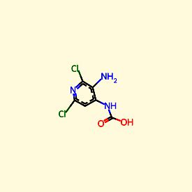 Nc1c(NC(=O)O)cc(Cl)nc1Cl